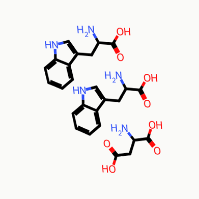 NC(CC(=O)O)C(=O)O.NC(Cc1c[nH]c2ccccc12)C(=O)O.NC(Cc1c[nH]c2ccccc12)C(=O)O